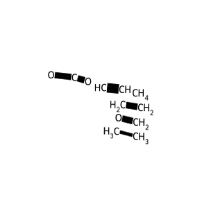 C.C#C.C=C.C=O.CC.O=C=O